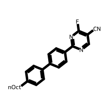 CCCCCCCCc1ccc(-c2ccc(-c3ncc(C#N)c(F)n3)cc2)cc1